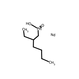 CCCCC(CC)C[PH](=O)O.[Nd]